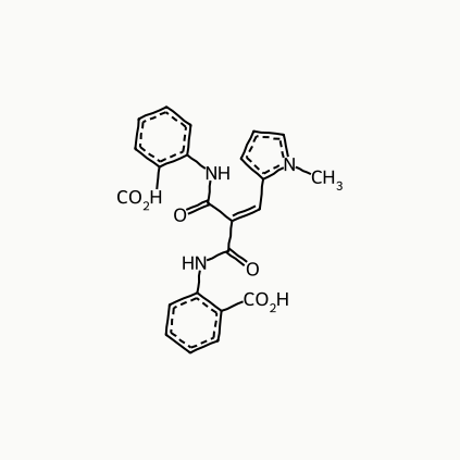 Cn1cccc1C=C(C(=O)Nc1ccccc1C(=O)O)C(=O)Nc1ccccc1C(=O)O